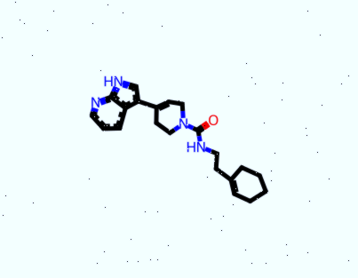 O=C(NCCC1=CCCCC1)N1CC=C(c2c[nH]c3ncccc23)CC1